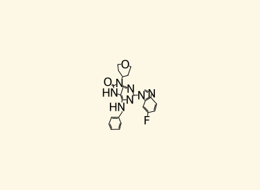 O=c1[nH]c2c(NCc3ccccc3)nc(-n3cnc4ccc(F)cc43)nc2n1C1CCOCC1